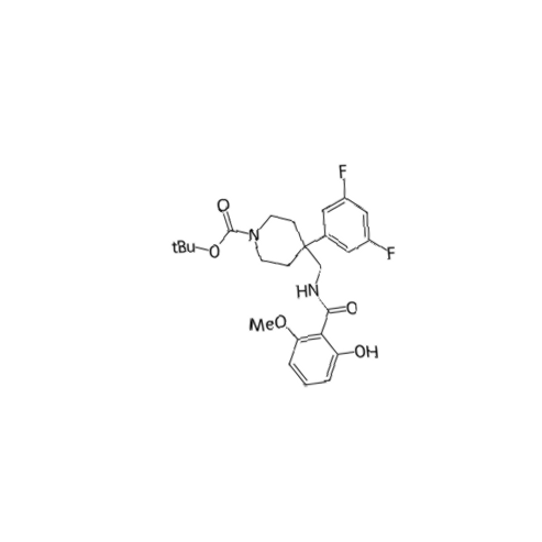 COc1cccc(O)c1C(=O)NCC1(c2cc(F)cc(F)c2)CCN(C(=O)OC(C)(C)C)CC1